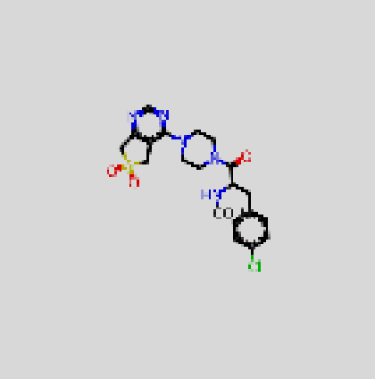 O=C(O)NC(Cc1ccc(Cl)cc1)C(=O)N1CCN(c2ncnc3c2CS(=O)(=O)C3)CC1